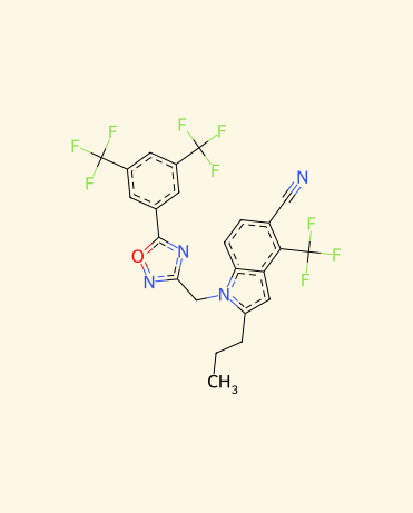 CCCc1cc2c(C(F)(F)F)c(C#N)ccc2n1Cc1noc(-c2cc(C(F)(F)F)cc(C(F)(F)F)c2)n1